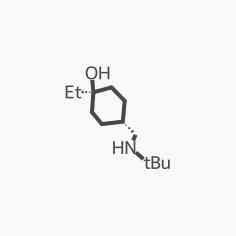 CC[C@]1(O)CC[C@H](CNC(C)(C)C)CC1